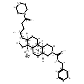 C[C@H](CCC(=O)N1CCOCC1)[C@H]1CC[C@H]2[C@@H]3[C@@H](O)C[C@@H]4CN(C(=O)OCc5ccccc5)CC[C@]4(C)[C@H]3CC[C@]12C